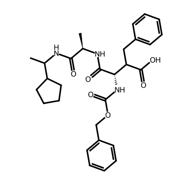 CC(NC(=O)[C@@H](C)NC(=O)[C@@H](NC(=O)OCc1ccccc1)C(Cc1ccccc1)C(=O)O)C1CCCC1